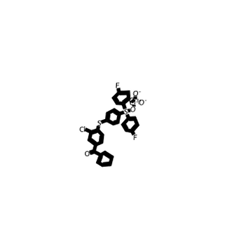 O=C(c1ccccc1)c1ccc(Sc2ccc(S(O[Cl+3]([O-])([O-])[O-])(c3ccc(F)cc3)c3ccc(F)cc3)cc2)c(Cl)c1